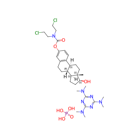 CN(C)c1nc(N(C)C)nc(N(C)C)n1.C[C@]12CC[C@@H]3c4ccc(OC(=O)N(CCCl)CCCl)cc4CC[C@H]3[C@@H]1CC[C@@H]2O.O=P(O)(O)O